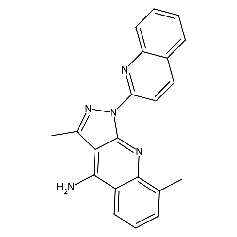 Cc1cccc2c(N)c3c(C)nn(-c4ccc5ccccc5n4)c3nc12